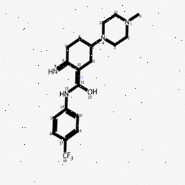 CN1CCN(C2CCC(=N)/C(=C(/O)Nc3ccc(C(F)(F)F)cc3)C2)CC1